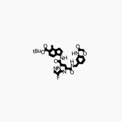 Cc1c(C(=O)OC(C)(C)C)ccc2c1CC[C@@H]2NC(=O)c1cc(C(=O)NCc2ccc3c(c2)NC(=O)CO3)nc2c(F)cnn12